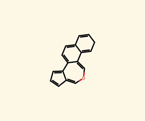 C1=CC2=COC=c3c(ccc4c3=CCC=C4)C2=C1